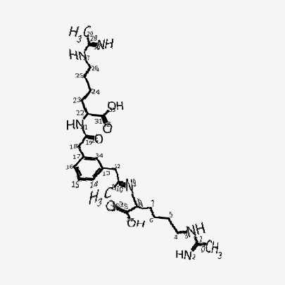 CC(=N)NCCCCC(/N=C(\C)Cc1cccc(CC(=O)NC(CCCCNC(C)=N)C(=O)O)c1)C(=O)O